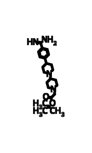 CC(C)(C)OC(=O)CN1CCC(N2CCC(c3ccc(C(=N)N)cc3)CC2)CC1